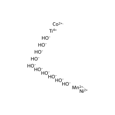 [Co+2].[Mn+2].[Ni+2].[OH-].[OH-].[OH-].[OH-].[OH-].[OH-].[OH-].[OH-].[OH-].[OH-].[Ti+4]